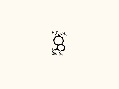 CC(C)N1CCC2CCC(C)(C)CCCC2/C1=N/C(C)(C)C